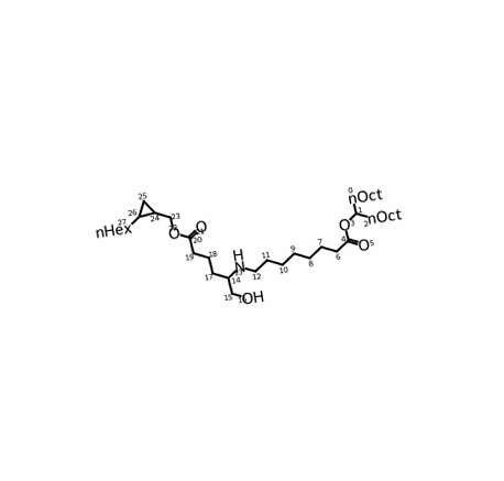 CCCCCCCCC(CCCCCCCC)OC(=O)CCCCCCCNC(CO)CCCC(=O)OCC1CC1CCCCCC